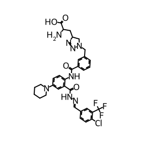 NC(CC1CN(Cc2cccc(C(=O)Nc3ccc(N4CCCCC4)cc3C(=O)N/N=C/c3ccc(Cl)c(C(F)(F)F)c3)c2)N=N1)C(=O)O